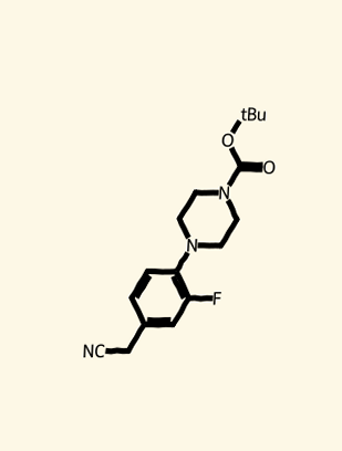 CC(C)(C)OC(=O)N1CCN(c2ccc(CC#N)cc2F)CC1